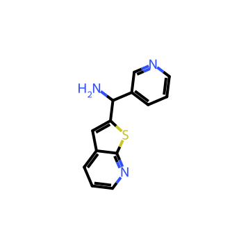 NC(c1cccnc1)c1cc2cccnc2s1